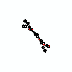 CC1(C)c2cc(/C=C/c3ccc4c(c3)C(C)(C)c3cc(N(c5cccc(-c6ccccc6)c5)c5ccc6ccccc6c5)ccc3-4)ccc2-c2ccc(/C=C/c3ccc4c(c3)C(C)(C)c3cc(N(c5cccc(-c6ccccc6)c5)c5ccc6ccccc6c5)ccc3-4)cc21